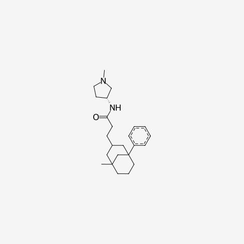 CN1CC[C@@H](NC(=O)CCC2CC3(C)CCCC(c4ccccc4)(C2)C3)C1